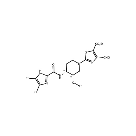 CCOC(=O)c1sc(N2CC[C@@H](NC(=O)c3nc(Cl)c(CC)[nH]3)[C@@H](OCC)C2)nc1C=O